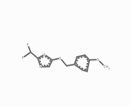 COc1ccc(CSc2cnc(C(F)F)s2)cc1